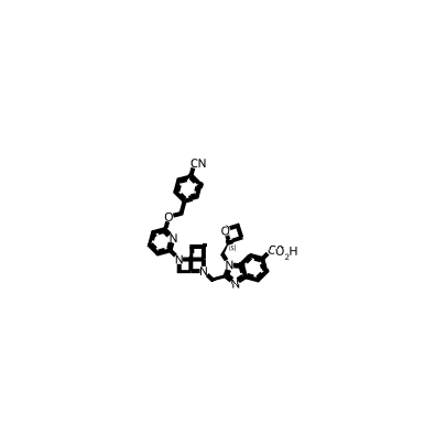 N#Cc1ccc(COc2cccc(N3CC4N(Cc5nc6ccc(C(=O)O)cc6n5C[C@@H]5CCO5)C5CCC543)n2)cc1